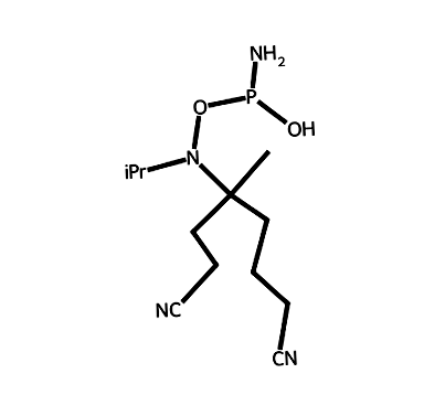 CC(C)N(OP(N)O)C(C)(CCC#N)CCCC#N